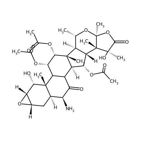 CC(=O)O[C@H]1[C@@H]2[C@H]([C@H](C)O[C@@]3(C)OC(=O)[C@@](C)(O)[C@]23C)[C@]2(C)[C@@H]1C1C(=O)[C@@H](N)[C@H]3C[C@@H]4O[C@@H]4[C@H](O)[C@]3(C)C1[C@H](OC(C)=O)[C@@H]2OC(C)=O